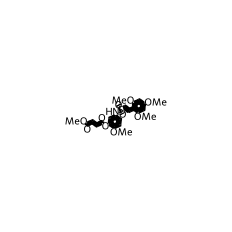 COC(=O)CCC(=O)Oc1cc(NS(=O)(=O)C=Cc2c(OC)cc(OC)cc2OC)ccc1OC